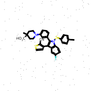 Cc1ccc(Sn2c(-c3cccc(N4CCC(C)(C(=O)O)CC4)c3)c(-c3ccsc3C#N)c3cc(F)ccc32)cc1